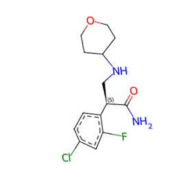 NC(=O)[C@H](CNC1CCOCC1)c1ccc(Cl)cc1F